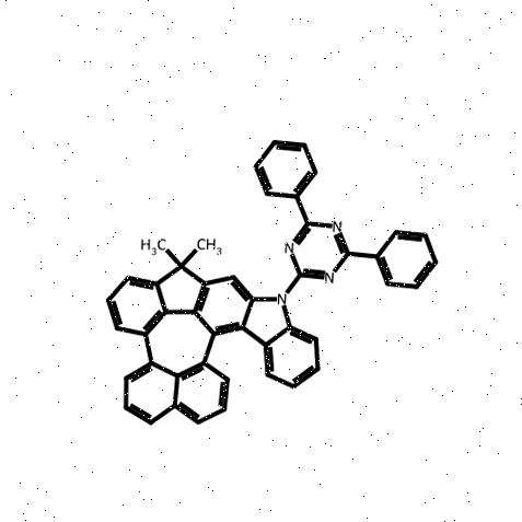 CC1(C)c2cccc3c2-c2c1cc1c(c2-c2cccc4cccc-3c24)c2ccccc2n1-c1nc(-c2ccccc2)nc(-c2ccccc2)n1